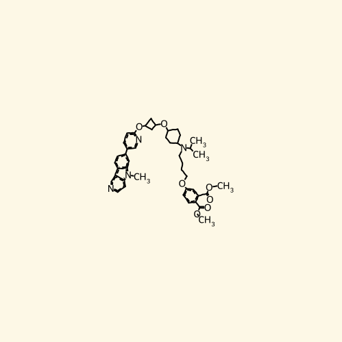 COC(=O)c1ccc(OCCCCN(C(C)C)C2CCC(OC3CC(Oc4ccc(-c5ccc6c7cnccc7n(C)c6c5)cn4)C3)CC2)cc1C(=O)OC